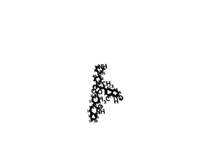 Cc1cc(C(C)C(OC(=O)N2CCC(N3CCc4ccccc4NC3=O)CC2)C(=O)N2CCC(N3CCNCC3)CC2)cc2ccc(=O)[nH]c12